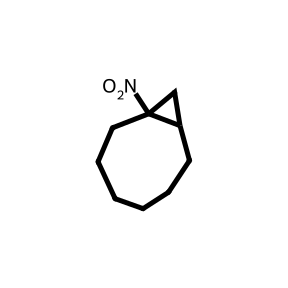 O=[N+]([O-])C12CCCCCCC1C2